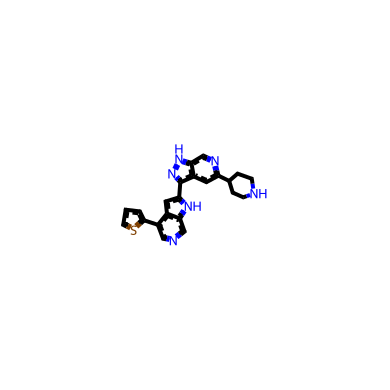 c1csc(-c2cncc3[nH]c(-c4n[nH]c5cnc(C6CCNCC6)cc45)cc23)c1